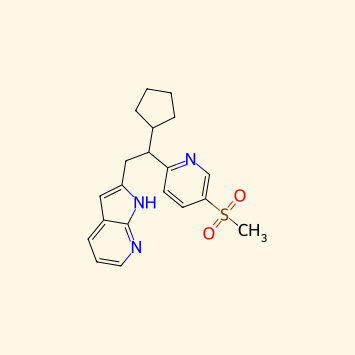 CS(=O)(=O)c1ccc(C(Cc2cc3cccnc3[nH]2)C2CCCC2)nc1